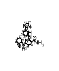 NC(=O)c1cc(F)c(N[C@@H]2CCCC[C@@H]2N)nc1Nc1cccc(-n2nccn2)c1